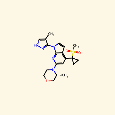 Cc1c[nH]nc1-n1ccc2c(C3(S(C)(=O)=O)CC3)cc(N3CCOC[C@H]3C)nc21